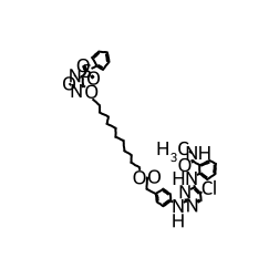 CNC(=O)c1ccccc1Nc1nc(Nc2ccc(CC(=O)OCCCCCCCCCCCCOc3nonc3S(=O)(=O)c3ccccc3)cc2)ncc1Cl